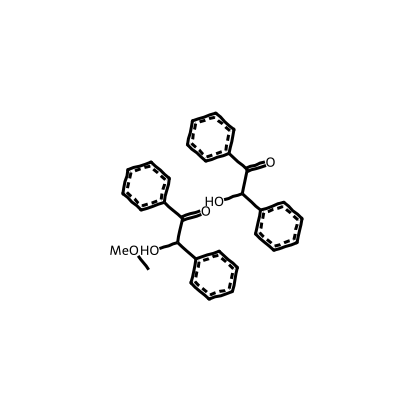 COC.O=C(c1ccccc1)C(O)c1ccccc1.O=C(c1ccccc1)C(O)c1ccccc1